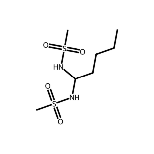 CCCC[C](NS(C)(=O)=O)NS(C)(=O)=O